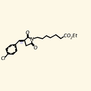 CCOC(=O)CCCCCCN1C(=O)C/C(=C\c2ccc(Cl)cc2)C1=O